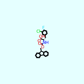 O=C(N[C@@H](Cc1ccc(F)c(Cl)c1)C(=O)O)OCC1c2ccccc2-c2ccccc21